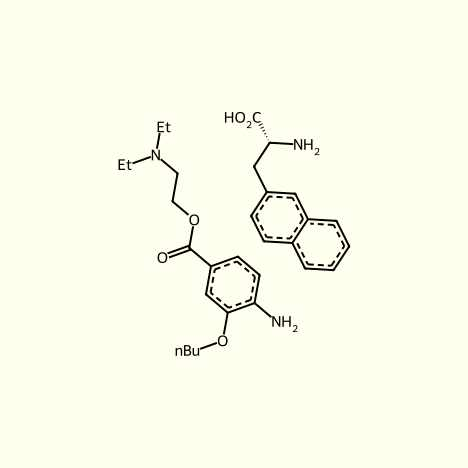 CCCCOc1cc(C(=O)OCCN(CC)CC)ccc1N.N[C@H](Cc1ccc2ccccc2c1)C(=O)O